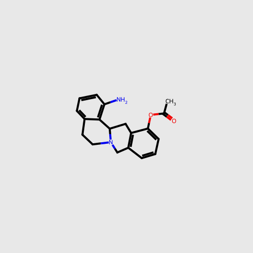 CC(=O)Oc1cccc2c1CC1c3c(N)cccc3CCN1C2